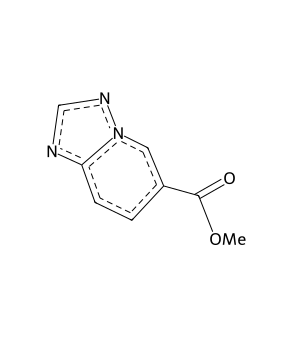 COC(=O)c1ccc2ncnn2c1